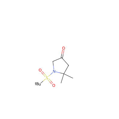 CC1(C)CC(=O)CN1S(=O)(=O)C(C)(C)C